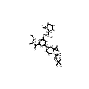 CON(C)C(=O)c1nc(O[C@@H](C)[C@@H]2CCCN2C)cc(N2CCN(C(=O)OC(C)(C)C)C3(CC3)C2)n1